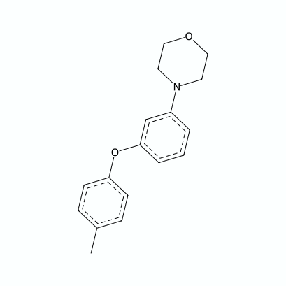 Cc1ccc(Oc2cccc(N3CCOCC3)c2)cc1